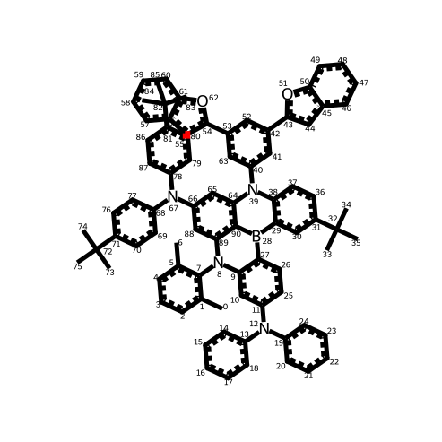 Cc1cccc(C)c1N1c2cc(N(c3ccccc3)c3ccccc3)ccc2B2c3cc(C(C)(C)C)ccc3N(c3cc(-c4cc5ccccc5o4)cc(-c4cc5ccccc5o4)c3)c3cc(N(c4ccc(C(C)(C)C)cc4)c4ccc(C(C)(C)C)cc4)cc1c32